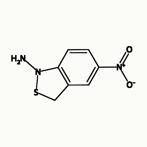 NN1SCc2cc([N+](=O)[O-])ccc21